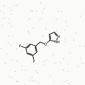 Fc1cc(F)cc(COc2ccn[nH]2)c1